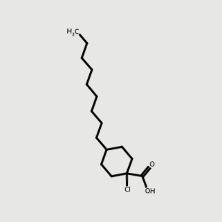 CCCCCCCCCC1CCC(Cl)(C(=O)O)CC1